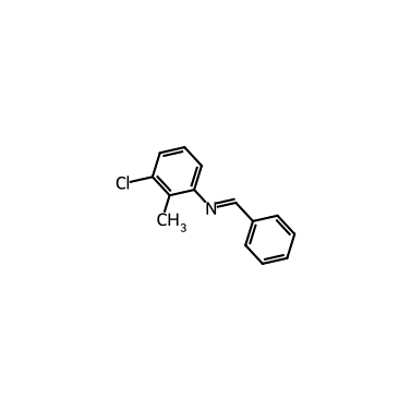 Cc1c(Cl)cccc1/N=C/c1ccccc1